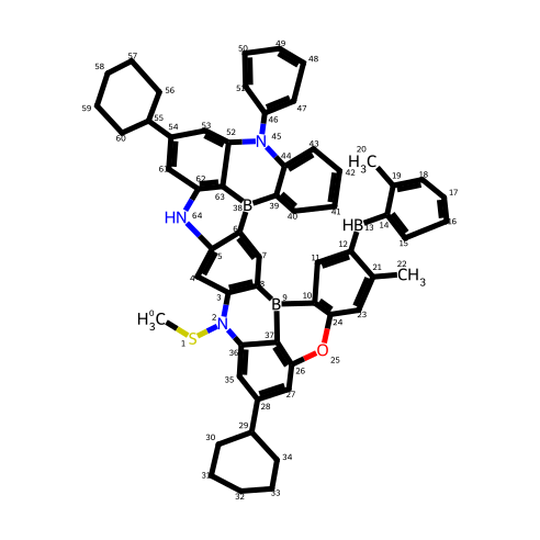 CSN1c2cc3c(cc2B2c4cc(Bc5ccccc5C)c(C)cc4Oc4cc(C5CCCCC5)cc1c42)B1c2ccccc2N(c2ccccc2)c2cc(C4CCCCC4)cc(c21)N3